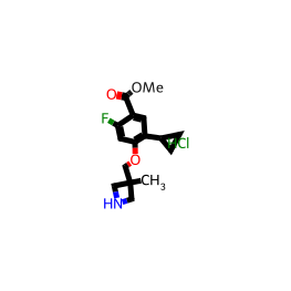 COC(=O)c1cc(C2CC2)c(OCC2(C)CNC2)cc1F.Cl